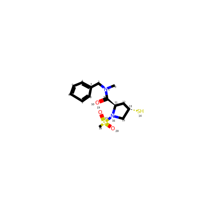 CN(Cc1ccccc1)C(=O)[C@H]1C[C@H](S)CN1S(C)(=O)=O